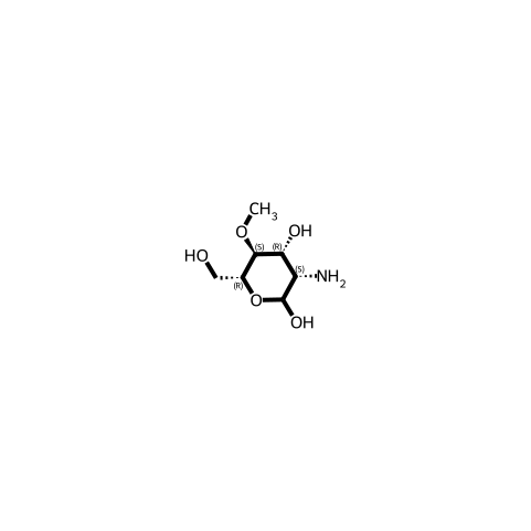 CO[C@H]1[C@H](O)[C@H](N)C(O)O[C@@H]1CO